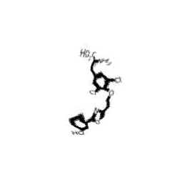 N[C@@H](Cc1cc(Cl)c(OCCc2coc(-c3cccc(O)c3)n2)c(Cl)c1)C(=O)O